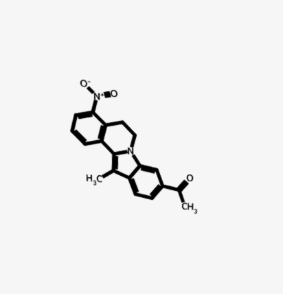 CC(=O)c1ccc2c(C)c3n(c2c1)CCc1c-3cccc1[N+](=O)[O-]